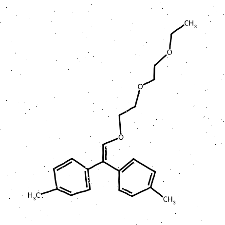 CCOCCOCCOC=C(c1ccc(C)cc1)c1ccc(C)cc1